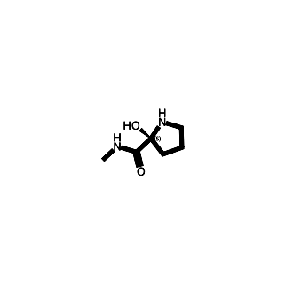 CNC(=O)[C@@]1(O)CCCN1